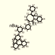 CCCCc1cc(-c2cccc(/C3=C/CC/C(c4ccccc4)=C4/Oc5ccccc5C4C3CC)c2)cc(-c2cc3sc4cccc5c6ccccc6c(c2)c3c45)c1